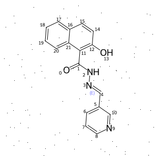 O=C(N/N=C/c1cccnc1)c1c(O)ccc2ccccc12